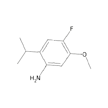 COc1cc(N)c(C(C)C)cc1F